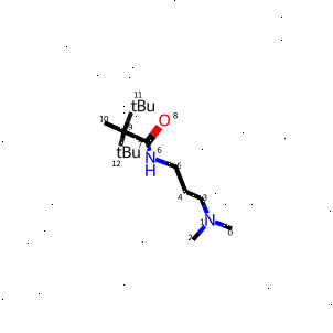 CN(C)CCCNC(=O)C(C)(C(C)(C)C)C(C)(C)C